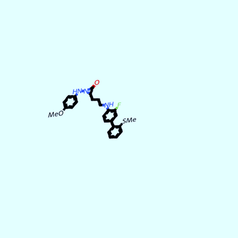 COc1ccc(NN2C(=O)C2CCCNc2ccc(-c3ccccc3SC)cc2F)cc1